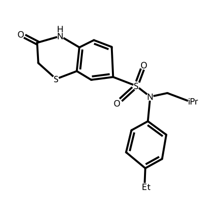 CCc1ccc(N(CC(C)C)S(=O)(=O)c2ccc3c(c2)SCC(=O)N3)cc1